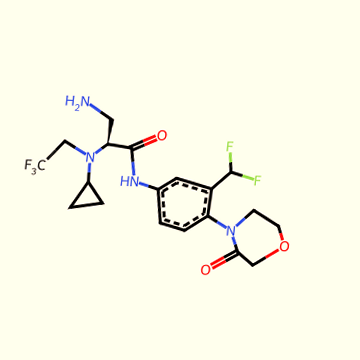 NC[C@@H](C(=O)Nc1ccc(N2CCOCC2=O)c(C(F)F)c1)N(CC(F)(F)F)C1CC1